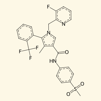 Cc1c(C(=O)Nc2ccc(S(C)(=O)=O)cc2)cn(Cc2ncccc2F)c1-c1ccccc1C(F)(F)F